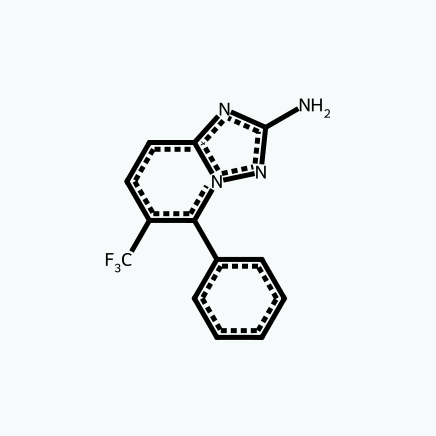 Nc1nc2ccc(C(F)(F)F)c(-c3ccccc3)n2n1